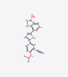 CC(C)Oc1ccc(-c2ncc(-c3cccc4c3CC[C@@H]4O)s2)cc1C#N